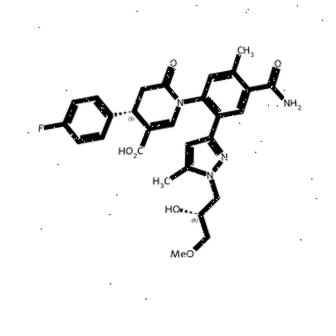 COC[C@H](O)Cn1nc(-c2cc(C(N)=O)c(C)cc2N2C=C(C(=O)O)[C@H](c3ccc(F)cc3)CC2=O)cc1C